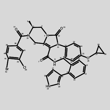 C[C@H]1Cn2c(c(C(=O)NCc3ccccc3-c3cc[nH]n3)n(-c3ccc(OC4CC4)cc3)c2=O)CN1C(=O)c1ccc(Br)c(Cl)c1